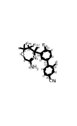 CC1(C)OCC(N)=NC(C)(c2cc(-c3ccc(C#N)cc3F)ccc2F)C1(F)F